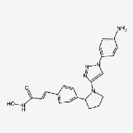 Nc1ccc(-n2cc(N3CCCC3c3ccc(/C=C/C(=O)NO)cc3)nn2)cc1